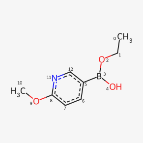 CCOB(O)c1ccc(OC)nc1